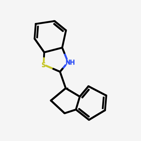 C1=CC2NC([C]3CCc4ccccc43)SC2C=C1